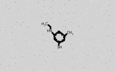 CCNc1cc(C)cc(S)c1